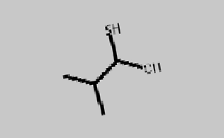 CC(C)C(O)S